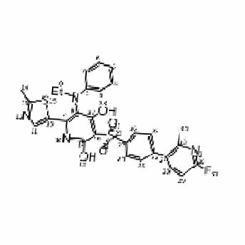 CCN(c1ccccc1)c1c(-c2cnc(C)s2)nc(O)c(S(=O)(=O)c2ccc(-c3ccc(F)nc3C)cc2)c1O